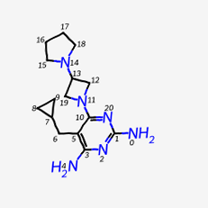 Nc1nc(N)c(CC2CC2)c(N2CC(N3CCCC3)C2)n1